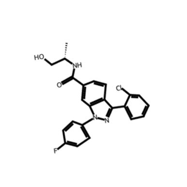 C[C@@H](CO)NC(=O)c1ccc2c(-c3ccccc3Cl)nn(-c3ccc(F)cc3)c2c1